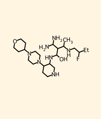 CCC(F)CNC(C)C(C(N)N)C(O)NC1CNCCC1N1CCN(C2CCOCC2)CC1